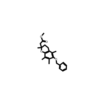 COC(=O)CC1(C)CCc2c(C)c(OCc3ccccc3)c(C)c(C)c2O1